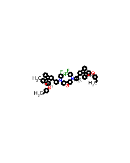 C=CC1=CCC(Oc2ccc(C3(c4cc(C)ccc4C)c4ccccc4C4CCC(C5=CC(N(C6=CC7C(CC6)OC6C=CC(N(C8=CC(C9=CC%10C(CC9)c9ccccc9C%10(C9=C(C)C=CC(C)C9)C9C=CC(OC%10CC=C(C=C)CC%10)CC9)CC=C8)C8=CC(F)=C(F)CC8)=CC67)C6=CCC(F)C(F)C6)CC=C5)=CC43)cc2)C=C1